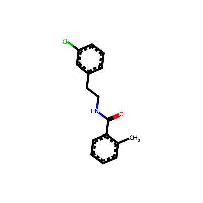 Cc1ccccc1C(=O)NCCc1cccc(Cl)c1